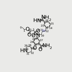 CCOC(=O)CS(=O)(=O)N(C/C=C/c1cccc(C(=N)N)c1)c1ccc(OC2CCNCC2)c(C(N)=O)c1